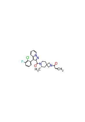 C=CC(=O)N1CC2(CCN(C(=O)c3nn4ccccc4c3-c3cccc(F)c3Cl)[C@@H](C)C2)C1